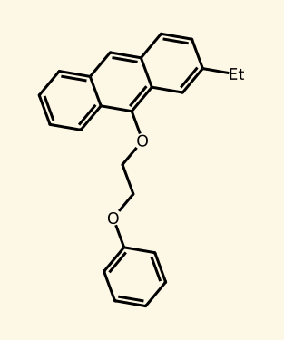 CCc1ccc2cc3ccccc3c(OCCOc3ccccc3)c2c1